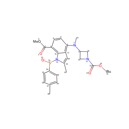 COC(=O)c1ccc(N(C)C2CN(C(=O)OC(C)(C)C)C2)c2cc(C)n([S+]([O-])c3ccc(C)cc3)c12